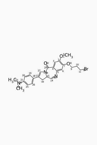 COc1cc2c(cc1OCCCBr)N=CC1CC(c3ccc(N(C)C)cc3)=CN1C2=O